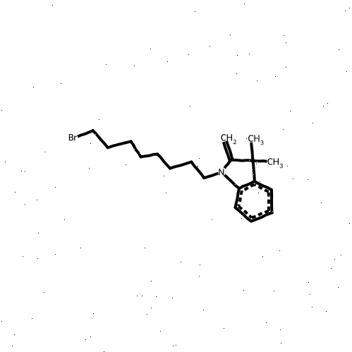 C=C1N(CCCCCCCCBr)c2ccccc2C1(C)C